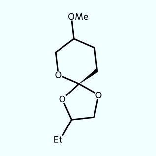 CCC1CO[C@]2(CCC(OC)CO2)O1